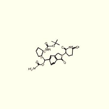 CC(C)(C)OC(=O)N[C@H]1CCC[C@@H]1C(OC(N)=O)c1ccc2c(c1)CN(C1CCC(=O)NC1=O)C2=O